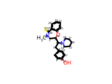 CN1CC(C(Cc2ccc(O)cc2)N2CCCCC2)Oc2ccccc2C1=S